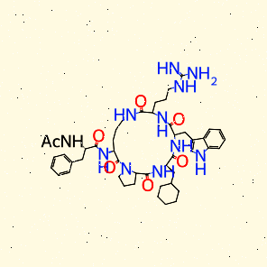 CC(=O)N[C@@H](Cc1ccccc1)C(=O)N[C@H]1CCCNC(=O)C(CCCNC(=N)N)NC(=O)C(Cc2c[nH]c3ccccc23)NC(=O)[C@@H](CC2CCCCC2)NC(=O)C2CCCN2C1=O